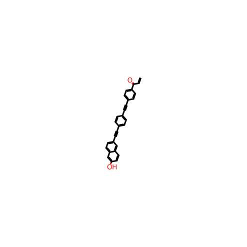 C=CC(=O)c1ccc(C#Cc2ccc(C#Cc3ccc4cc(O)ccc4c3)cc2)cc1